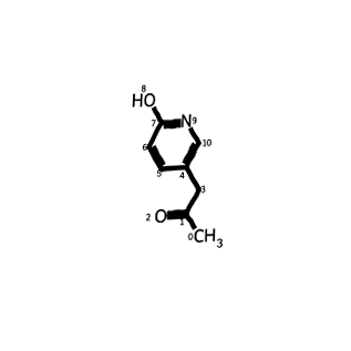 CC(=O)Cc1ccc(O)nc1